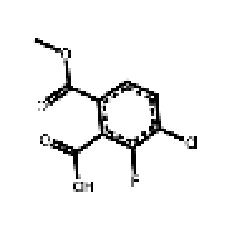 COC(=O)c1ccc(Cl)c(F)c1C(=O)O